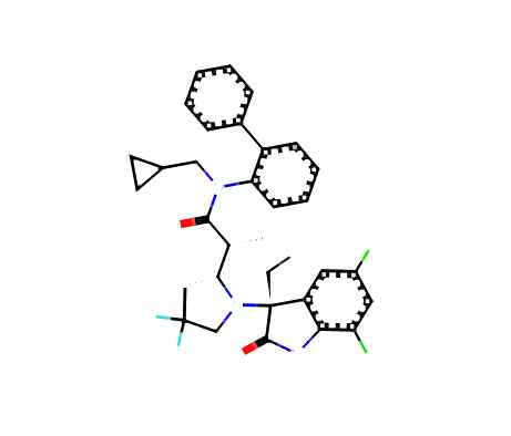 C[C@@H](C(=O)N(CC1CC1)c1ccccc1-c1ccccc1)[C@H]1CC(F)(F)CN1[C@@]1(CC(=O)O)C(=O)Nc2c(Cl)cc(Cl)cc21